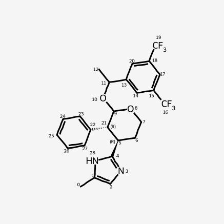 Cc1cnc([C@@H]2CCOC(OC(C)c3cc(C(F)(F)F)cc(C(F)(F)F)c3)[C@H]2c2ccccc2)[nH]1